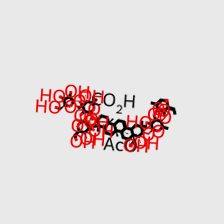 C/C=C(/C)C(=O)OC1C(O)[C@H](O[C@H]2[C@H](O)[C@@]3(COC(C)=O)C(CC2(C)C)C2=CCC4[C@@]5(C)CC[C@H](O[C@@H]6OC(C(=O)O)[C@@H](O)C(C)(O[C@@H]7O[C@@H](CO)C(O)C7O)C6O[C@@H]6OC(CO)[C@H](O)C(O)C6O)C(C)(C)C5CC[C@@]4(C)[C@]2(C)C[C@H]3O)OC(C)[C@@H]1OC(=O)/C(C)=C\C